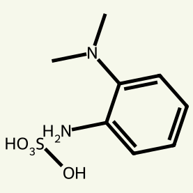 CN(C)c1ccccc1N.O=S(=O)(O)O